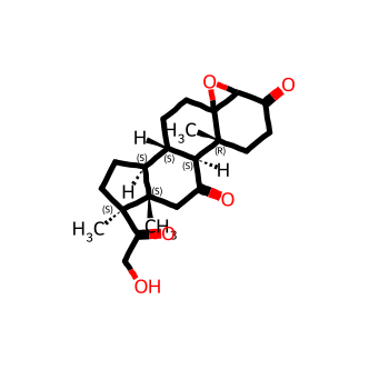 C[C@]12CC(=O)[C@H]3[C@@H](CCC45OC4C(=O)CC[C@]35C)[C@@H]1CC[C@]2(C)C(=O)CO